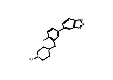 CN1CCN(Cc2cc(-c3ccc4[nH]nnc4c3)ccc2F)CC1